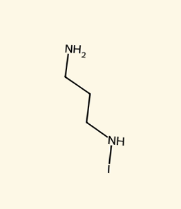 NCCCNI